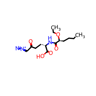 CCCC[C@H](OCC)C(=O)N[C@@H](CCC(=O)C=[N+]=[N-])C(=O)O